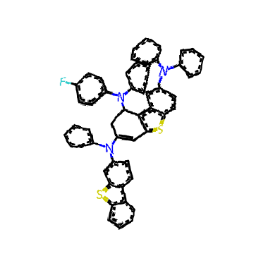 Fc1ccc(N(c2ccccc2)C2CC(N(c3ccccc3)c3ccc4c(c3)sc3ccccc34)=Cc3sc4ccc(N(c5ccccc5)c5ccccc5)cc4c32)cc1